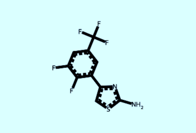 Nc1nc(-c2cc(C(F)(F)F)cc(F)c2F)cs1